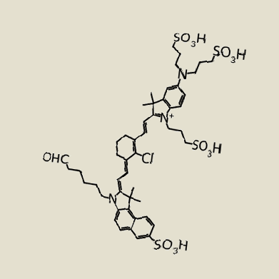 CC1(C)C(/C=C/C2=C(Cl)C(=C/C=C3/N(CCCCCC=O)c4ccc5cc(S(=O)(=O)O)ccc5c4C3(C)C)/CCC2)=[N+](CCCS(=O)(=O)O)c2ccc(N(CCCS(=O)(=O)O)CCCS(=O)(=O)O)cc21